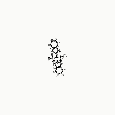 FC(F)(F)C(c1nc2ccccc2s1)(c1nc2ccccc2s1)C(F)(F)F